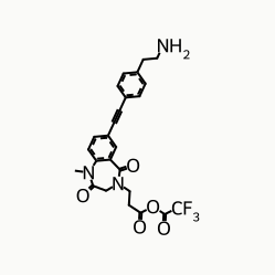 CN1C(=O)CN(CCC(=O)OC(=O)C(F)(F)F)C(=O)c2cc(C#Cc3ccc(CCN)cc3)ccc21